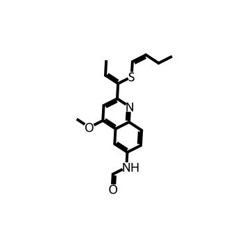 C/C=C(\S/C=C\CC)c1cc(OC)c2cc(NC=O)ccc2n1